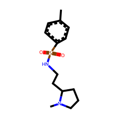 Cc1ccc(S(=O)(=O)NCCC2CCCN2C)cc1